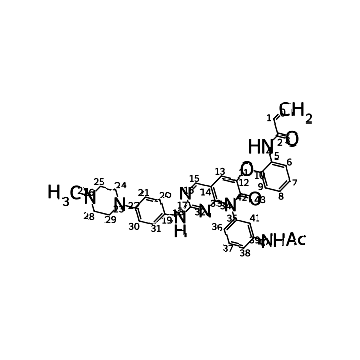 C=CC(=O)Nc1ccccc1Oc1cc2cnc(Nc3ccc(N4CCN(C)CC4)cc3)nc2n(-c2cccc(NC(C)=O)c2)c1=O